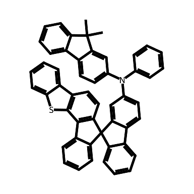 CC1(C)c2ccccc2-c2ccc(N(c3ccccc3)c3ccc4c(c3)C3(c5ccccc5-4)c4ccccc4-c4c3ccc3c4sc4ccccc43)cc21